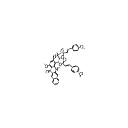 COc1ccc(/C=C/C(=O)OC2c3c(cc(OC)c4c(=O)c5cc6ccccc6cc5n(C)c34)OC(C)(C)C2OC(=O)/C=C/c2ccc(OC)cc2)cc1